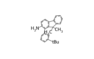 CC(C)(C)c1cccc(-c2c(N)ccc3c2C(C)(C)c2ccccc2-3)c1